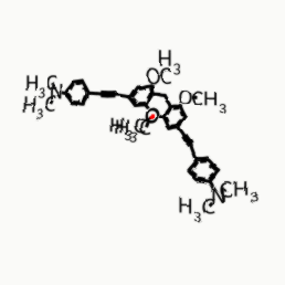 COc1cc(C#Cc2ccc(N(C)C)cc2)cc(OC)c1Cc1c(OC)cc(C#Cc2ccc(N(C)C)cc2)cc1OC